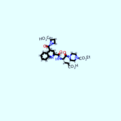 CCOC(=O)N1CCN(C(=O)[C@H](CCC(=O)O)NC(=O)c2cc(C(=O)N3CC[C@H]3C(=O)O)c3ccccc3n2)CC1